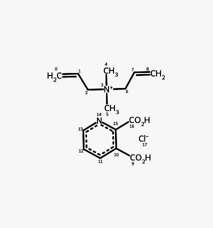 C=CC[N+](C)(C)CC=C.O=C(O)c1cccnc1C(=O)O.[Cl-]